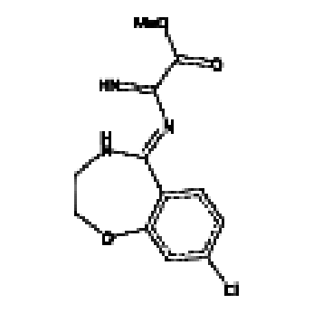 COC(=O)C(=N)/N=C1\NCCOc2cc(Cl)ccc21